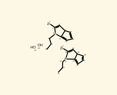 CCCP1[C]([Zr])=CC2C=CC=C21.CCCP1[C]([Zr])=CC2C=CC=C21.Cl.Cl